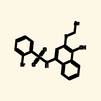 CC(=O)CSc1cc(NS(=O)(=O)c2ccccc2Br)c2ccccc2c1O